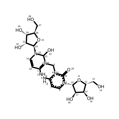 NC1=[N+](C[n+]2c(N)ccn([C@@H]3O[C@H](CO)[C@@H](O)[C@H]3O)c2=O)C(O)N([C@@H]2O[C@H](CO)[C@@H](O)[C@H]2O)C=C1